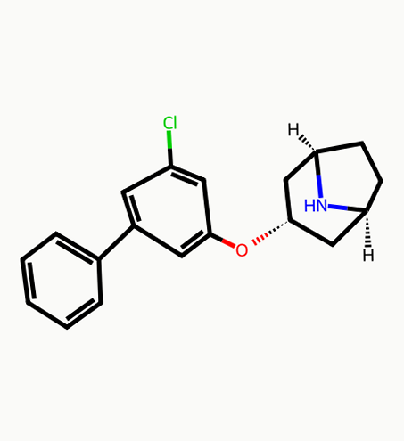 Clc1cc(O[C@@H]2C[C@H]3CC[C@@H](C2)N3)cc(-c2ccccc2)c1